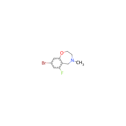 CN1CCOc2cc(Br)cc(F)c2C1